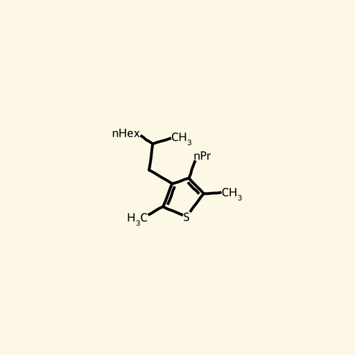 CCCCCCC(C)Cc1c(C)sc(C)c1CCC